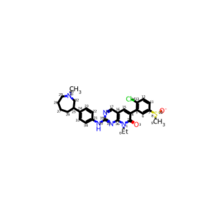 CCn1c(=O)c(-c2cc([S+](C)[O-])ccc2Cl)cc2cnc(Nc3ccc(C4CCCCN(C)C4)cc3)nc21